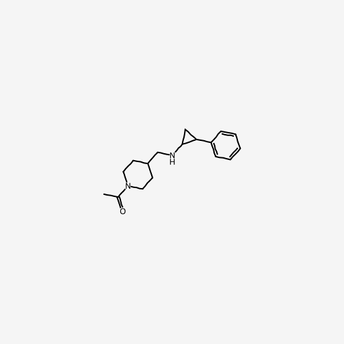 CC(=O)N1CCC(CNC2CC2c2ccccc2)CC1